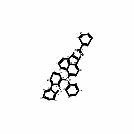 c1ccc(-c2nc3c(s2)-c2cccc4c(N(c5ccccc5)c5cccc6c5sc5ccccc56)ccc-3c24)cc1